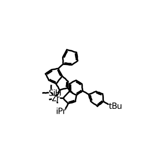 CC1=Cc2c(-c3ccccc3)cccc2[CH]1[Zr]([CH3])([CH3])([CH]1C(C(C)C)=Cc2c(-c3ccc(C(C)(C)C)cc3)cccc21)[SiH](C)C